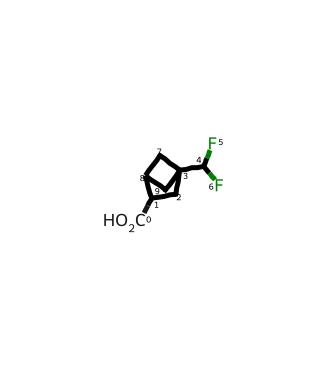 O=C(O)C1CC2(C(F)F)CC1C2